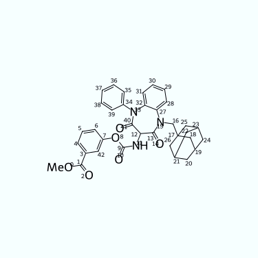 COC(=O)c1cccc(OC(=O)NC2C(=O)N(CC34CC5CC(CC(C5)C3)C4)c3ccccc3N(c3ccccc3)C2=O)c1